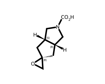 O=C(O)N1C[C@@H]2C[C@@]3(CO3)C[C@@H]2C1